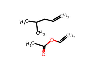 C=CCC(C)C.C=COC(C)=O